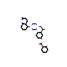 Cc1ccc2c(N3CCN(CC(C)c4cccc(NC(=O)c5ccccc5F)c4)CC3)cccc2n1